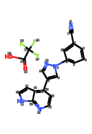 N#Cc1cccc(-n2cc(-c3ccnc4[nH]ccc34)cn2)c1.O=C(O)C(F)(F)F